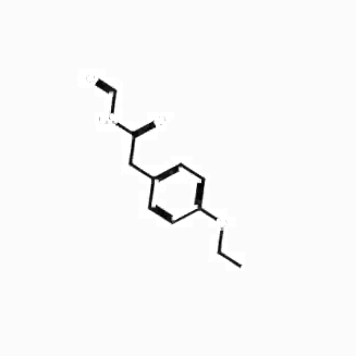 CCOc1ccc(CC(=O)NC=O)cc1